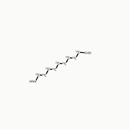 [13CH3][13CH2][13CH2][13CH2][13CH2][13CH2][13CH2][13CH2][13CH2][13CH2][13CH2][13CH2][13CH2][13CH2][13CH2][13C]=O